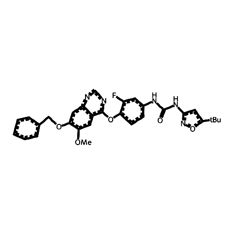 COc1cc2c(Oc3ccc(NC(=O)Nc4cc(C(C)(C)C)on4)cc3F)ncnc2cc1OCc1ccccc1